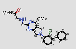 CNC(=O)CNCc1nc2c(c(OC)n1)CN(c1cccc(-c3ccccc3)c1Cl)C2